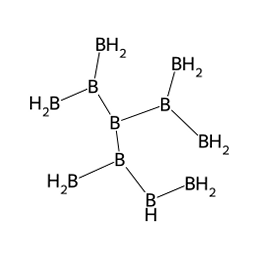 BBB(B)B(B(B)B)B(B)B